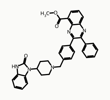 COC(=O)c1cccc2nc(-c3ccccc3)c(-c3ccc(CN4CCC(n5c(=O)[nH]c6ccccc65)CC4)cc3)nc12